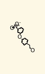 O=CCc1ccc(Oc2cccc([N+](=O)[O-])c2)cc1